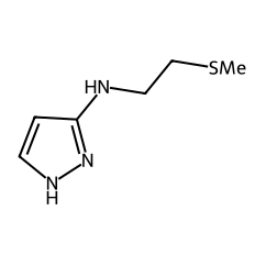 CSCCNc1cc[nH]n1